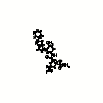 Cc1ccc(NC(=O)c2cc(C(F)(F)F)cc(S(N)(=O)=O)c2)cc1-n1ccn2nc(-c3cccnc3)cc12